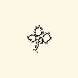 C=C(C)COCOC(=O)C(=C(C1CCCCCCCCC1)C1CCCCCCCCC1)C1CCCCCCCCC1